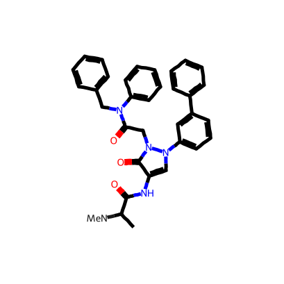 CNC(C)C(=O)Nc1cn(-c2cccc(-c3ccccc3)c2)n(CC(=O)N(Cc2ccccc2)c2ccccc2)c1=O